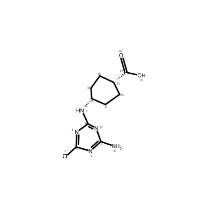 Nc1nc(Cl)nc(N[C@H]2CC[C@@H](C(=O)O)CC2)n1